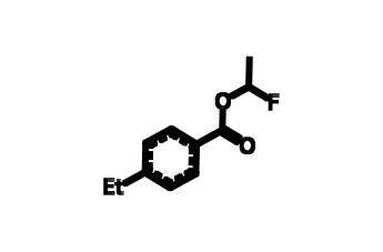 CCc1ccc(C(=O)OC(C)F)cc1